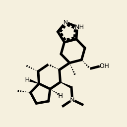 C[C@@H]1C[C@H]([C@@]2(C)Cc3cn[nH]c3C[C@@H]2CO)[C@@H](CN(C)C)[C@H]2CC[C@H](C)[C@@H]21